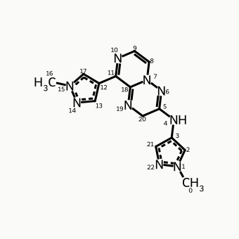 Cn1cc(NC2=NN3C=CN=C(c4cnn(C)c4)C3=NC2)cn1